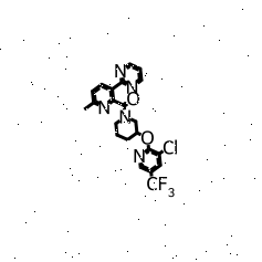 Cc1ccc(-c2ncccn2)c(C(=O)N2CCCC(Oc3ncc(C(F)(F)F)cc3Cl)C2)n1